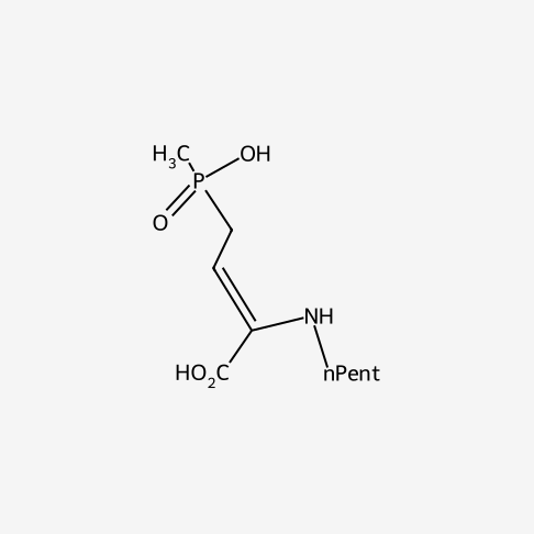 CCCCCN/C(=C\CP(C)(=O)O)C(=O)O